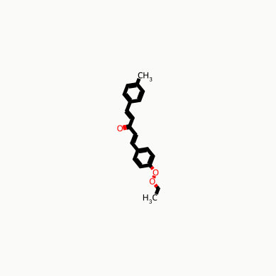 CCOOc1ccc(/C=C/C(=O)/C=C/c2ccc(C)cc2)cc1